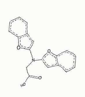 O=C(O)CN(c1cc2ccccc2o1)c1cc2ccccc2o1